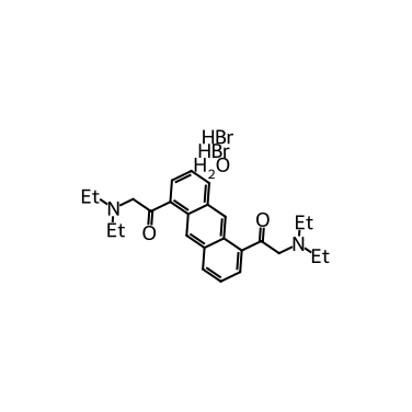 Br.Br.CCN(CC)CC(=O)c1cccc2cc3c(C(=O)CN(CC)CC)cccc3cc12.O